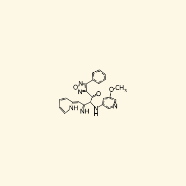 COc1cncc(NC(C(=N)/C=C2/C=CC=CN2)C(=O)c2nonc2-c2ccccc2)c1